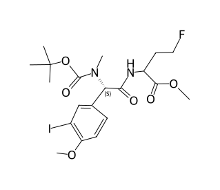 COC(=O)C(CCF)NC(=O)[C@H](c1ccc(OC)c(I)c1)N(C)C(=O)OC(C)(C)C